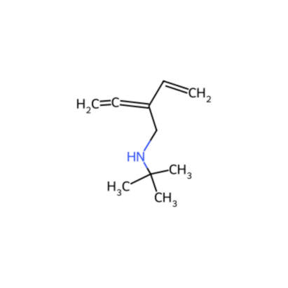 C=C=C(C=C)CNC(C)(C)C